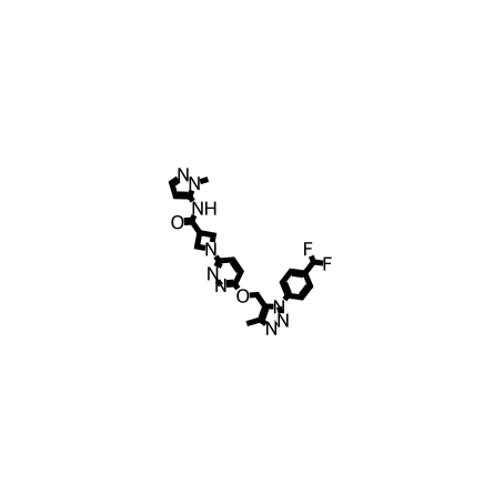 Cc1nnn(-c2ccc(C(F)F)cc2)c1COc1ccc(N2CC(C(=O)Nc3ccnn3C)C2)nn1